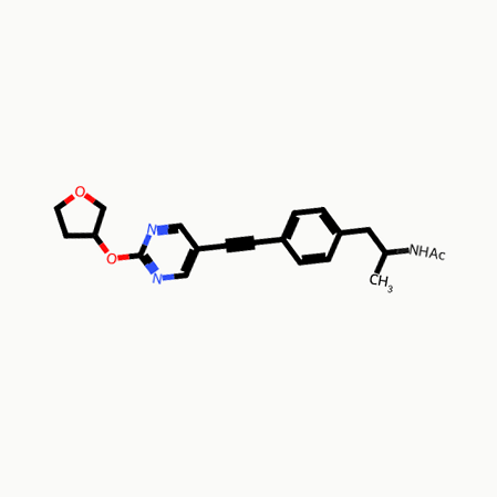 CC(=O)NC(C)Cc1ccc(C#Cc2cnc(OC3CCOC3)nc2)cc1